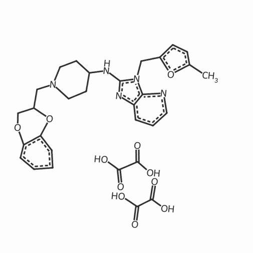 Cc1ccc(Cn2c(NC3CCN(CC4COc5ccccc5O4)CC3)nc3cccnc32)o1.O=C(O)C(=O)O.O=C(O)C(=O)O